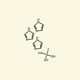 O[Si](O)(O)F.c1c[nH]cn1.c1c[nH]cn1.c1c[nH]cn1